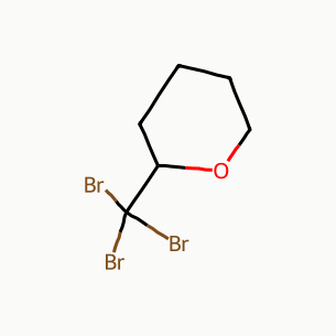 BrC(Br)(Br)C1CCCCO1